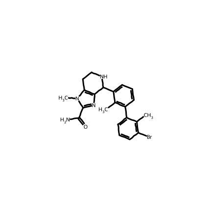 Cc1c(Br)cccc1-c1cccc(C2NCCc3c2nc(C(N)=O)n3C)c1C